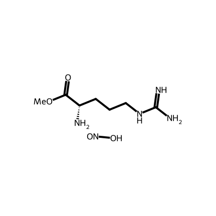 COC(=O)[C@@H](N)CCCNC(=N)N.O=NO